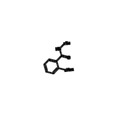 [CH2]CCCCCc1ccccc1C(=O)NCCCC